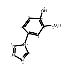 O=C(O)c1cc(-n2cnnn2)ccc1O